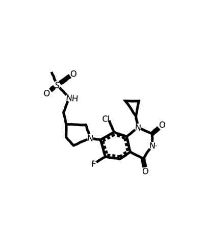 CS(=O)(=O)NCC1CCN(c2c(F)cc3c(c2Cl)N(C2CC2)C(=O)[N]C3=O)C1